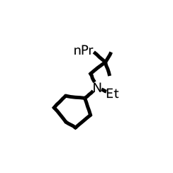 CCCC(C)(C)CN(CC)C1CCCCC1